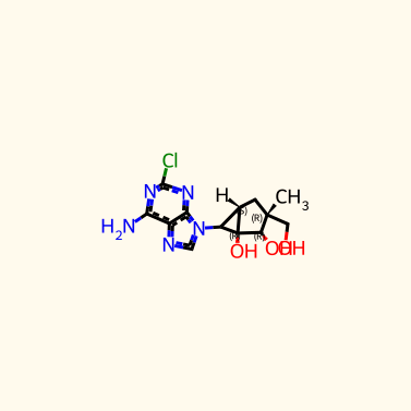 C[C@]1(CO)C[C@H]2C(n3cnc4c(N)nc(Cl)nc43)[C@@]2(O)[C@@H]1O